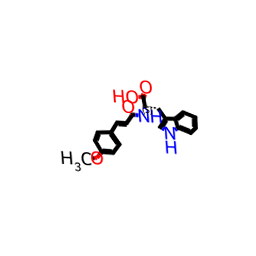 COc1ccc(C=CC(=O)N[C@@H](Cc2c[nH]c3ccccc23)C(=O)O)cc1